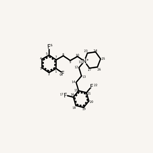 Fc1cccc(F)c1CCC[N+]1(CCCc2c(F)cccc2F)CCCCC1